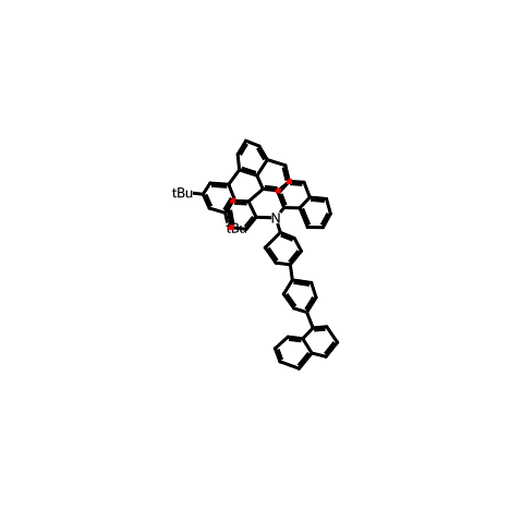 CC(C)(C)c1cc(-c2cccc3cccc(-c4ccccc4N(c4ccc(-c5ccc(-c6cccc7ccccc67)cc5)cc4)c4cccc5ccccc45)c23)cc(C(C)(C)C)c1